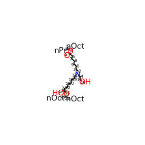 CCCCCCCCC(CCC)OC(=O)CCCCCCCN(CCO)CCCCCCCC(O)OC(CCCCCCCC)CCCCCCCC